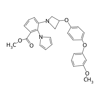 COC(=O)c1cccc(N2CC(Oc3ccc(Oc4cccc(OC)c4)cc3)C2)c1-n1cccc1